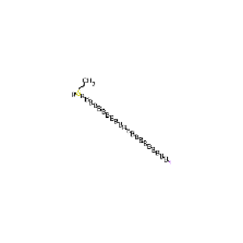 B#S(=BB=BB=BB=BB=BB=BB=BB=BB=BB=BB=BI)CCC